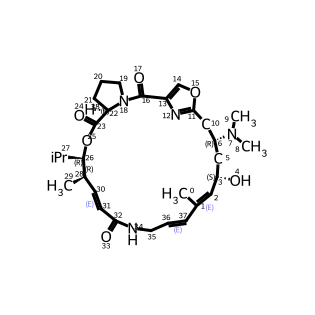 CC1=C\[C@@H](O)C[C@@H](N(C)C)Cc2nc(co2)C(=O)N2CCC[C@@H]2C(=O)O[C@H](C(C)C)[C@H](C)/C=C/C(=O)NC\C=C\1